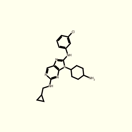 NC1CCC(n2c(Nc3cccc(Cl)c3)nc3cnc(NCC4CC4)nc32)CC1